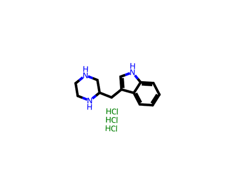 Cl.Cl.Cl.c1ccc2c(CC3CNCCN3)c[nH]c2c1